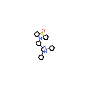 [O-][S+]1c2ccccc2N(c2cccc(-c3cc(-c4ccccc4)nc(-c4ccccc4)n3)c2)c2ccccc21